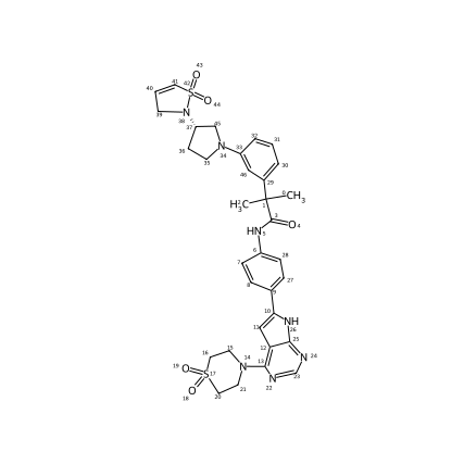 CC(C)(C(=O)Nc1ccc(-c2cc3c(N4CCS(=O)(=O)CC4)ncnc3[nH]2)cc1)c1cccc(N2CC[C@H](N3CC=CS3(=O)=O)C2)c1